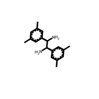 Cc1cc(C)cc(C(N)C(N)c2cc(C)cc(C)c2)c1